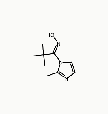 Cc1nccn1/C(=N/O)C(C)(C)C